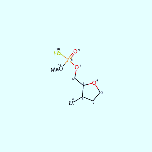 CCC1CCOC1COP(=O)(S)OC